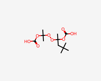 CC(C)(C)CC(C)(OOC(C)(C)OC(=O)O)OC(=O)O